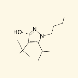 CCCCn1nc(O)c(C(C)(C)C)c1C(C)C